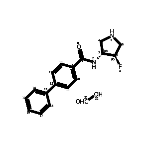 O=C(N[C@@H]1CNC[C@H]1F)c1ccc(-c2ccccc2)cc1.O=CO